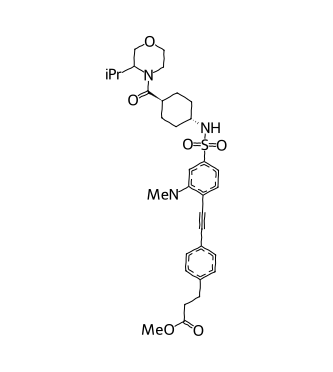 CNc1cc(S(=O)(=O)N[C@H]2CC[C@H](C(=O)N3CCOCC3C(C)C)CC2)ccc1C#Cc1ccc(CCC(=O)OC)cc1